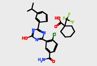 CC(C)c1cccc(-c2nc(O)nc(-c3cc(C(N)=O)ccc3Cl)n2)c1.O=C(O)C1(C(F)(F)F)CCCCC1